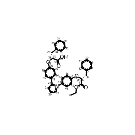 CCOC(=O)[C@@H](Cc1ccccc1)Oc1ccc(-n2cccc2-c2ccc(O[C@H](Cc3ccccc3)C(=O)O)cc2)cc1